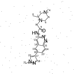 CC1CN(C)CCN1CC(=O)Nc1cc2cc(-c3cnn(C)c3)ccc2nn1